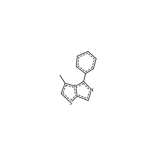 Cc1csc2cnc(-c3ccccc3)n12